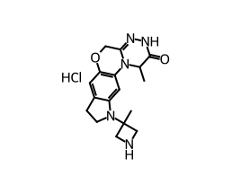 CC1C(=O)NN=C2COc3cc4c(cc3N21)N(C1(C)CNC1)CC4.Cl